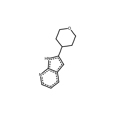 c1cnc2[nH]c(C3CCOCC3)cc2c1